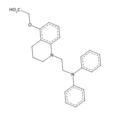 O=C(O)COc1cccc2c1CCCN2CCN(c1ccccc1)c1ccccc1